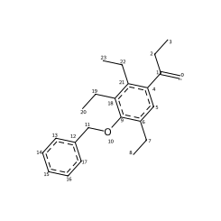 [C]=C(CC)c1cc(CC)c(OCc2ccccc2)c(CC)c1CC